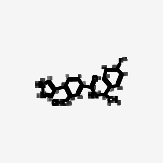 CC(NC(=O)c1ccc(-c2cn[nH]c2)c(C=O)c1)c1ccc(F)cc1